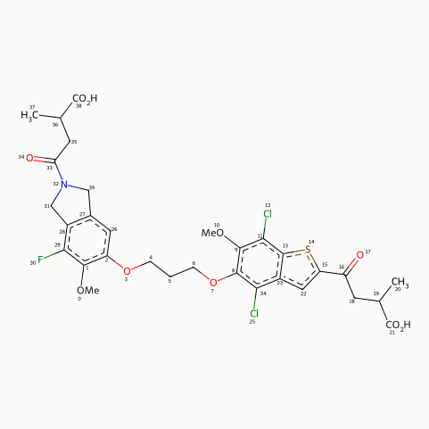 COc1c(OCCCOc2c(OC)c(Cl)c3sc(C(=O)CC(C)C(=O)O)cc3c2Cl)cc2c(c1F)CN(C(=O)CC(C)C(=O)O)C2